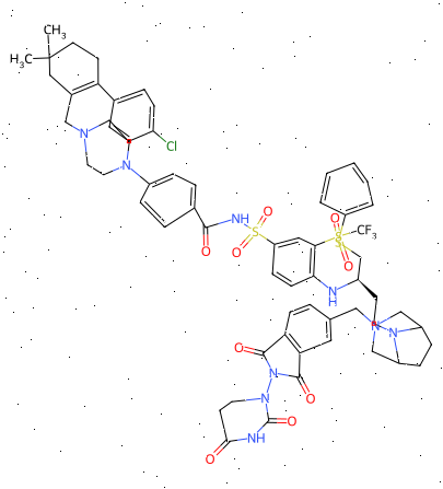 CC1(C)CCC(c2ccc(Cl)cc2)=C(CN2CCN(c3ccc(C(=O)NS(=O)(=O)c4ccc(N[C@H](CCN5C6CCC5CN(Cc5ccc7c(c5)C(=O)N(N5CCC(=O)NC5=O)C7=O)C6)CSc5ccccc5)c(S(=O)(=O)C(F)(F)F)c4)cc3)CC2)C1